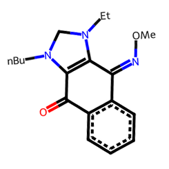 CCCCN1CN(CC)C2=C1C(=O)c1ccccc1/C2=N/OC